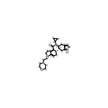 O=C(C1=C2CCN(CCN3CCOCC3)C2=CCC1)N(C1CC1)C1CCc2[nH]ncc2C1